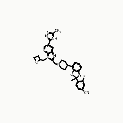 CC1(c2ccc(C#N)cc2F)Oc2cccc(C3CCN(Cc4nc5cc(-c6nnc(C(F)(F)F)[nH]6)cnc5n4CC4CCO4)CC3)c2O1